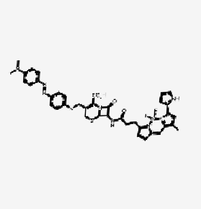 Cc1cc(-c2ccc[nH]2)n2c1C=C1C=CC(CCC(=O)NC3C(=O)N4C(C(=O)O)=C(CSc5ccc(N=Nc6ccc(N(C)C)cc6)cc5)CSC34)=[N+]1[B-]2(F)F